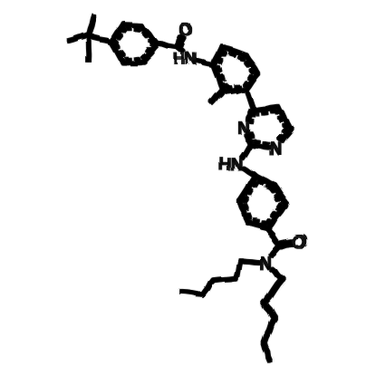 CCCCCN(CCCCC)C(=O)c1ccc(Nc2nccc(-c3cccc(NC(=O)c4ccc(C(C)(C)C)cc4)c3C)n2)cc1